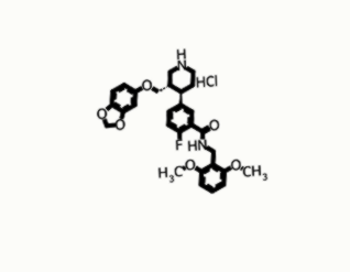 COc1cccc(OC)c1CNC(=O)c1cc([C@@H]2CCNC[C@H]2COc2ccc3c(c2)OCO3)ccc1F.Cl